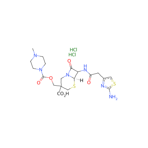 CN1CCN(C(=O)OCC2(C(=O)O)CS[C@@H]3C(NC(=O)Cc4csc(N)n4)C(=O)N3C2)CC1.Cl.Cl